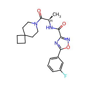 C[C@@H](NC(=O)c1noc(-c2cccc(F)c2)n1)C(=O)N1CCC2(CCC2)CC1